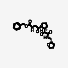 O=C(NCC(=O)N1CCC[C@H]1C(O)C(=O)NC[C@@H]1CCCO1)OCc1ccccc1